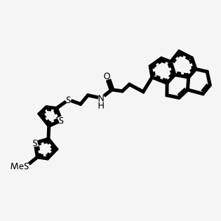 CSc1ccc(-c2ccc(SCCNC(=O)CCCc3ccc4ccc5c6c4c3CC=C6C=CC5)s2)s1